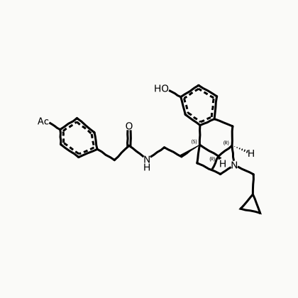 CC(=O)c1ccc(CC(=O)NCC[C@@]23CCN(CC4CC4)[C@H](Cc4ccc(O)cc42)[C@@H]3C)cc1